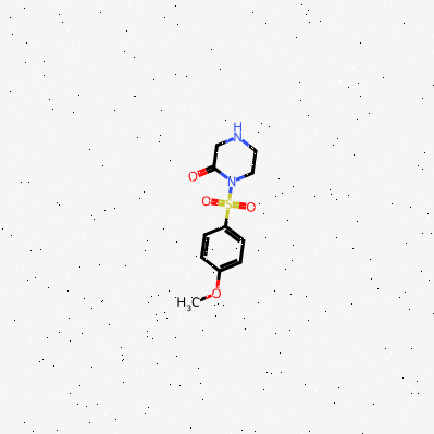 COc1ccc(S(=O)(=O)N2CCNCC2=O)cc1